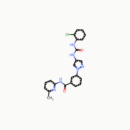 Cc1cccc(NC(=O)c2cccc(-n3cc(NC(=O)Nc4ccccc4Cl)cn3)c2)n1